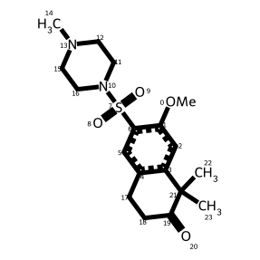 COc1cc2c(cc1S(=O)(=O)N1CCN(C)CC1)CCC(=O)C2(C)C